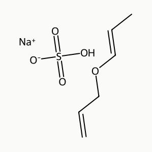 C=CCOC=CC.O=S(=O)([O-])O.[Na+]